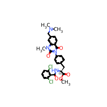 COC(=O)[C@H](Cc1ccc(-n2c(=O)c3ccc(CN(C)C)cc3n(C)c2=O)cc1)NC(=O)c1c(Cl)cccc1Cl